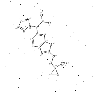 CCC(CC)C(c1ccc2nc(OCC3(C(=O)O)CC3)sc2c1)n1cncn1